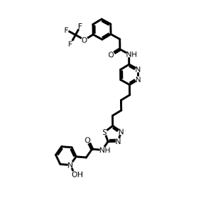 O=C(Cc1cccc(OC(F)(F)F)c1)Nc1ccc(CCCCc2nnc(NC(=O)CC3=CC=CCN3O)s2)nn1